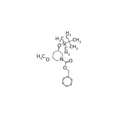 CO[C@@H]1C[C@@H](O[Si](C)(C)C(C)(C)C)CN(C(=O)OCc2ccccc2)C1